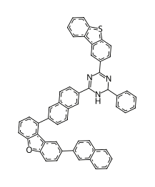 c1ccc(C2N=C(c3ccc4sc5ccccc5c4c3)N=C(c3ccc4cc(-c5cccc6oc7ccc(-c8ccc9ccccc9c8)cc7c56)ccc4c3)N2)cc1